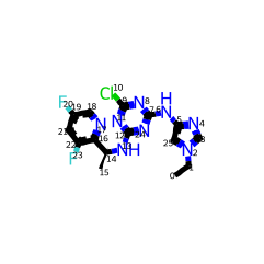 CCn1cnc(Nc2nc(Cl)nc(N[C@@H](C)c3ncc(F)cc3F)n2)c1